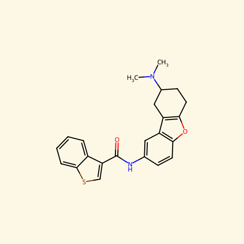 CN(C)C1CCc2oc3ccc(NC(=O)c4csc5ccccc45)cc3c2C1